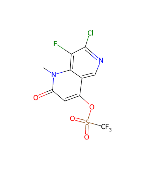 Cn1c(=O)cc(OS(=O)(=O)C(F)(F)F)c2cnc(Cl)c(F)c21